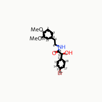 COc1ccc(CCNC(=O)C(O)c2ccc(Br)cc2)cc1OC